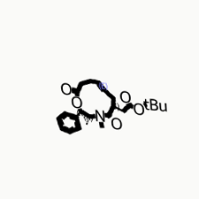 C[C@@H]1[C@@H](c2ccccc2)OC(=O)CC/C=C/C[C@@H](CC(=O)OC(C)(C)C)C(=O)N1C